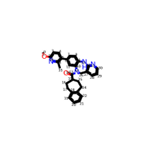 COc1ccc(-c2ccc3c(c2)N(C(=O)C2CCc4ccccc4CC2)Cc2cccnc2N3)c(C)n1